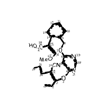 C=CC(Oc1cc(OCc2ccccc2C(=COC)C(=O)O)ncn1)=C(C#N)C=CC